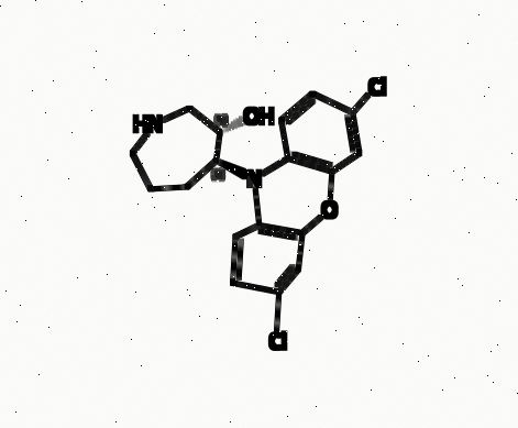 O[C@H]1CNCCC[C@@H]1N1c2ccc(Cl)cc2Oc2cc(Cl)ccc21